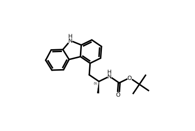 C[C@@H](Cc1cccc2[nH]c3ccccc3c12)NC(=O)OC(C)(C)C